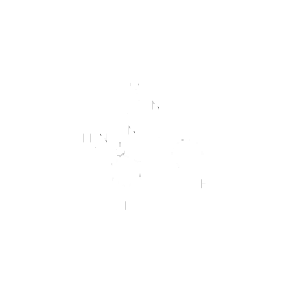 CC1[C@H](C2c3c#ccc(F)c3CCc3c(F)cccc32)N(C(N)=O)CC(=O)N1C